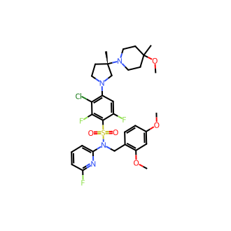 COc1ccc(CN(c2cccc(F)n2)S(=O)(=O)c2c(F)cc(N3CC[C@](C)(N4CCC(C)(OC)CC4)C3)c(Cl)c2F)c(OC)c1